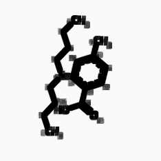 CCC[CH2][Sn][CH2]CCC.Cc1ccc(C(=O)O)cc1